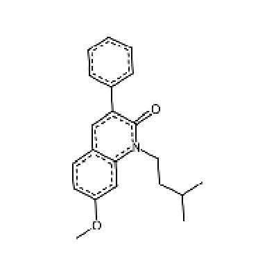 COc1ccc2cc(-c3ccccc3)c(=O)n(CCC(C)C)c2c1